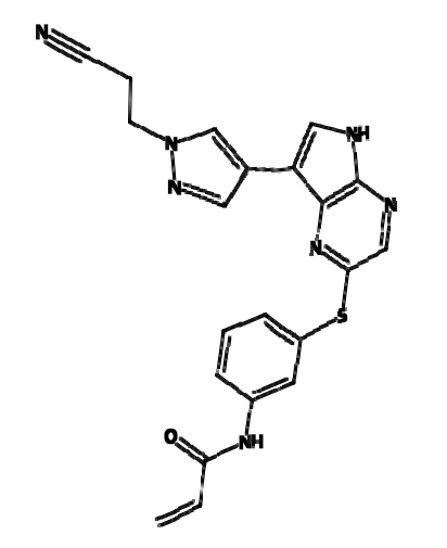 C=CC(=O)Nc1cccc(Sc2cnc3[nH]cc(-c4cnn(CCC#N)c4)c3n2)c1